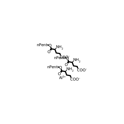 CCCCCOC(=O)[C@@H](N)CCC(=O)[O-].CCCCCOC(=O)[C@@H](N)CCC(=O)[O-].CCCCCOC(=O)[C@@H](N)CCC(=O)[O-].[Al+3]